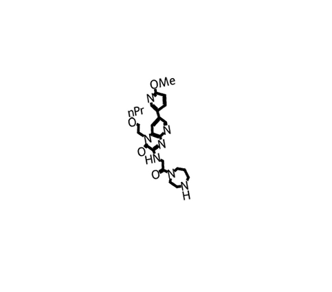 CCCOCCn1c(=O)c(NCC(=O)N2CCCNCC2)nc2ncc(-c3ccc(OC)nc3)cc21